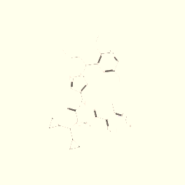 COCC(c1cc(F)cnc1OC)n1cc(NC(=O)[C@@H](NC(=O)C(=N)/C(C)=N\O)C(C2CC2)C2CC2)cn1